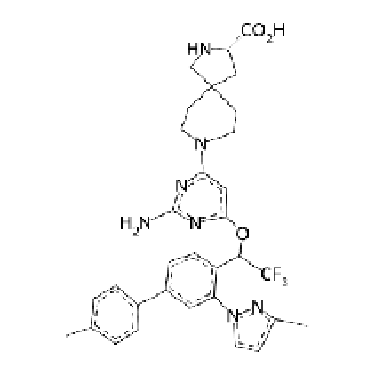 Cc1ccc(-c2ccc(C(Oc3cc(N4CCC5(CC4)CN[C@H](C(=O)O)C5)nc(N)n3)C(F)(F)F)c(-n3ccc(C)n3)c2)cc1